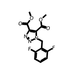 COC(=O)c1nnn(Cc2c(F)cccc2F)c1C(=O)OC